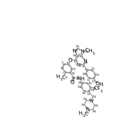 Cc1ccc(Oc2nc(-c3ccc(O)cc3)nc3c2ncn3C)cc1C(=O)Nc1ccc(CN2CCN(C)CC2)c(C(F)(F)F)c1